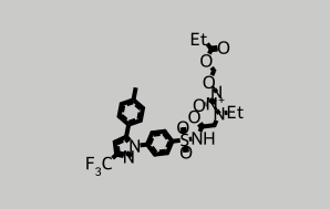 CCC(=O)OCON=[N+]([O-])N(CC)CC(=O)NS(=O)(=O)c1ccc(-n2nc(C(F)(F)F)cc2-c2ccc(C)cc2)cc1